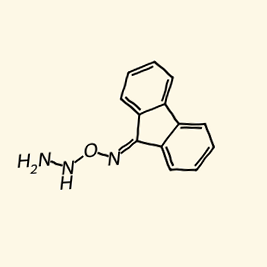 NNON=C1c2ccccc2-c2ccccc21